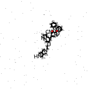 CN(C(=O)N1C2CC1CN(c1ccc(-c3cc(OCCN4CC5CNCC5C4)cn4ncc(C#N)c34)cn1)C2)c1ccccc1